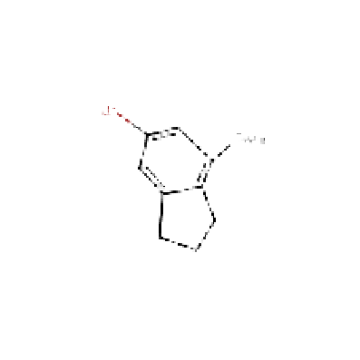 COc1cc(Br)cc2c1CCC2